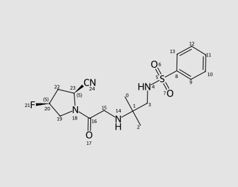 CC(C)(CNS(=O)(=O)c1ccccc1)NCC(=O)N1C[C@@H](F)C[C@H]1C#N